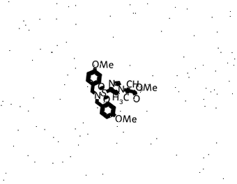 COC(=O)C(C)(C)n1cnc(S(=O)(=O)N(Cc2ccc(OC)cc2)Cc2ccc(OC)cc2)c1